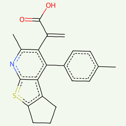 C=C(C(=O)O)c1c(C)nc2sc3c(c2c1-c1ccc(C)cc1)CCC3